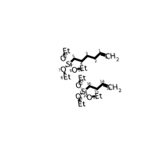 C=CCCCC[Si](OCC)(OCC)OCC.C=CCC[Si](OCC)(OCC)OCC